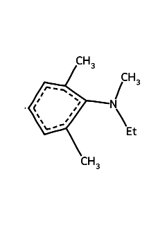 CCN(C)c1c(C)c[c]cc1C